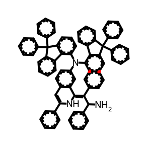 NC(/C(=C1\NC(c2ccccc2)=Cc2ccc(N(c3cccc4c3-c3ccccc3C4(c3ccccc3)c3ccccc3)c3cccc4c3-c3ccccc3C4(c3ccccc3)c3ccccc3)cc21)c1ccccc1)c1ccccc1